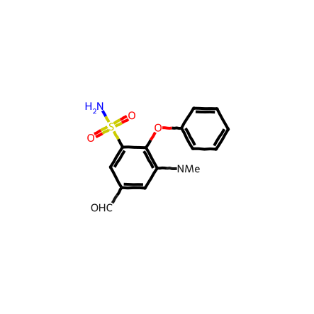 CNc1cc(C=O)cc(S(N)(=O)=O)c1Oc1ccccc1